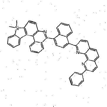 C[Si]1(C)c2ccccc2-c2c1ccc1nc(-c3ccc(-c4ccc5ccc6ccc(-c7ccccc7)nc6c5n4)c4ccccc34)c3ccccc3c21